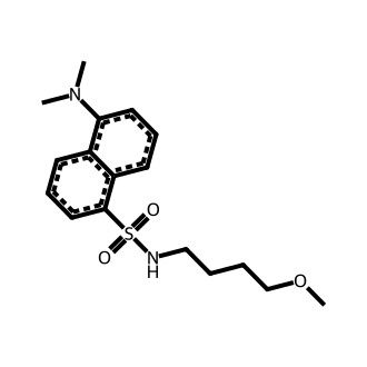 COCCCCNS(=O)(=O)c1cccc2c(N(C)C)cccc12